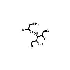 NCC(=O)O.O=CC(O)C(O)C(O)CO